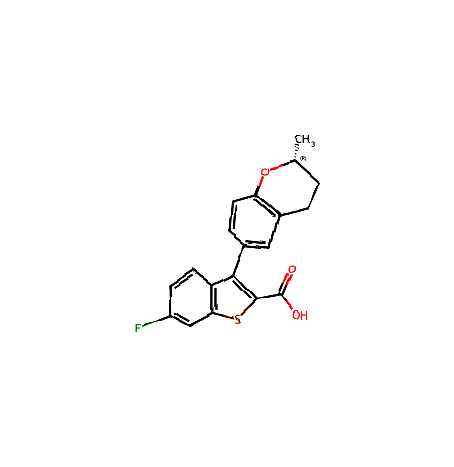 C[C@@H]1CCc2cc(-c3c(C(=O)O)sc4cc(F)ccc34)ccc2O1